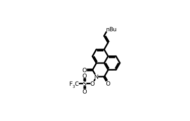 CCCC/C=C/c1ccc2c3c(cccc13)C(=O)N(OS(=O)(=O)C(F)(F)F)C2=O